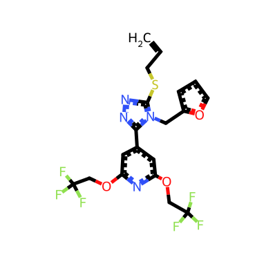 C=CCSc1nnc(-c2cc(OCC(F)(F)F)nc(OCC(F)(F)F)c2)n1Cc1ccco1